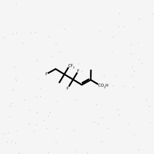 CC(=CC(F)(F)C(C)(CF)C(F)(F)F)C(=O)O